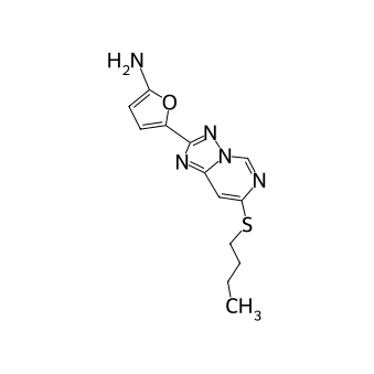 CCCCSc1cc2nc(-c3ccc(N)o3)nn2cn1